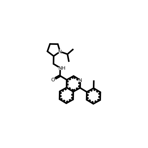 Cc1ccccc1-c1ncc(C(=O)NCC2CCCN2C(C)C)c2ccccc12